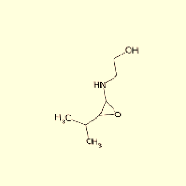 CC(C)C1OC1NCCO